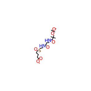 COC(=O)CCCC(=O)SCCNC(=O)CCNC(=O)C(C)(C)COC(C)(C)OC